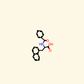 O=C(NC(Cc1cccc2ccccc12)C(=O)O)c1ccccc1